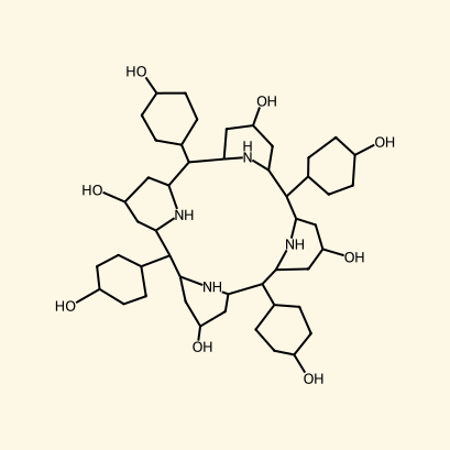 OC1CCC(C2C3CC(O)CC(N3)C(C3CCC(O)CC3)C3CC(O)CC(N3)C(C3CCC(O)CC3)C3CC(O)CC(N3)C(C3CCC(O)CC3)C3CC(O)CC2N3)CC1